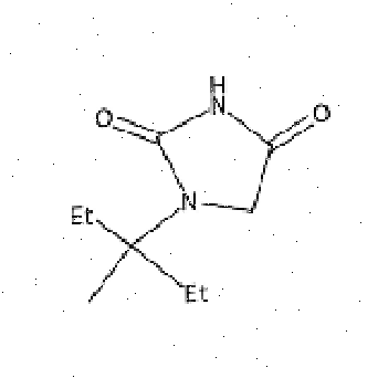 CCC(C)(CC)N1CC(=O)NC1=O